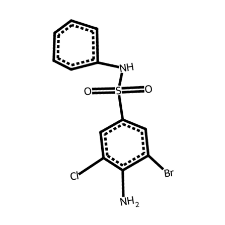 Nc1c(Cl)cc(S(=O)(=O)Nc2ccccc2)cc1Br